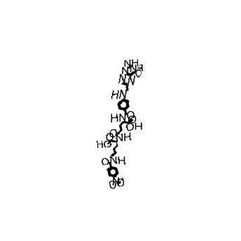 Nc1nc2ncc(CNc3ccc(C(=O)NC(CCC(=O)N[C@@H](CCCCNC(=O)c4ccc([N+](=O)[O-])cc4)C(=O)O)C(=O)O)cc3)nc2c(=O)[nH]1